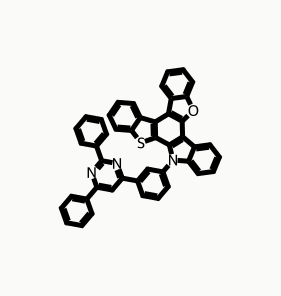 c1ccc(-c2cc(-c3cccc(-n4c5ccccc5c5c6oc7ccccc7c6c6c7ccccc7sc6c54)c3)nc(-c3ccccc3)n2)cc1